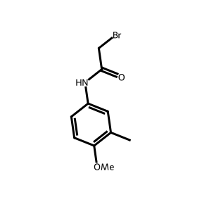 COc1ccc(NC(=O)CBr)cc1C